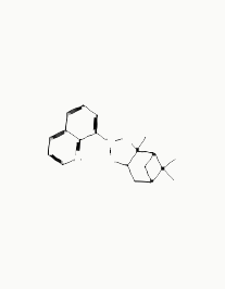 CC1(C)C2CC3OB(c4cccc5cccnc45)OC3(C)C1C2